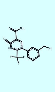 NC(=O)c1cc(-c2cccc(CO)c2)c(C(F)(F)F)[nH]c1=O